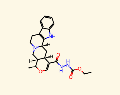 CCOC(=O)NNC(=O)C1=CO[C@@H](C)[C@@H]2CN3CCc4c([nH]c5ccccc45)[C@@H]3C[C@H]12